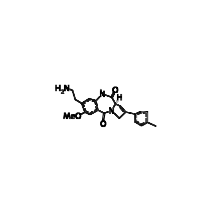 COc1cc2c(cc1CCN)N(C)C(=O)[C@H]1C=C(c3ccc(C)cc3)CN1C2=O